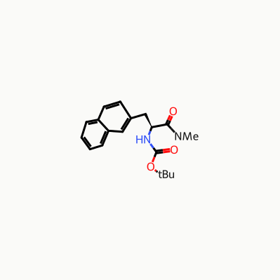 CNC(=O)[C@H](Cc1ccc2ccccc2c1)NC(=O)OC(C)(C)C